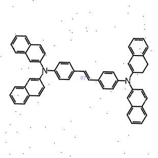 C1=C(N(c2ccc(/C=C/c3ccc(N(c4ccc5ccccc5c4)c4ccc5ccccc5c4)cc3)cc2)c2ccc3ccccc3c2)CCc2ccccc21